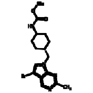 Cc1ncc2c(Br)cn(C[C@H]3CC[C@H](NC(=O)OC(C)(C)C)CC3)c2n1